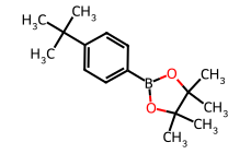 CC(C)(C)c1ccc(B2OC(C)(C)C(C)(C)O2)cc1